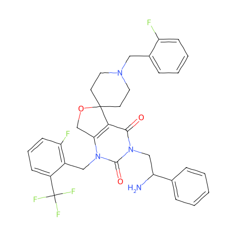 NC(Cn1c(=O)c2c(n(Cc3c(F)cccc3C(F)(F)F)c1=O)COC21CCN(Cc2ccccc2F)CC1)c1ccccc1